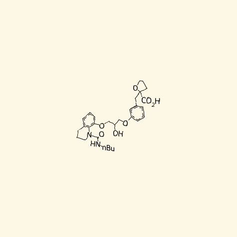 CCCCNC(=O)N1CCCc2cccc(OCC(O)COc3cccc(CC4(C(=O)O)CCCO4)c3)c21